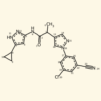 CC(C(=O)Nc1cc(C2CC2)[nH]n1)c1cnn(-c2cc(Cl)cc(C#N)c2)c1